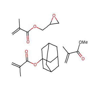 C=C(C)C(=O)OC.C=C(C)C(=O)OC12CC3CC(CC(C3)C1)C2.C=C(C)C(=O)OCC1CO1